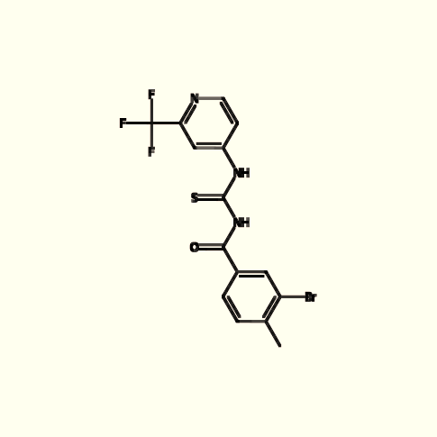 Cc1ccc(C(=O)NC(=S)Nc2ccnc(C(F)(F)F)c2)cc1Br